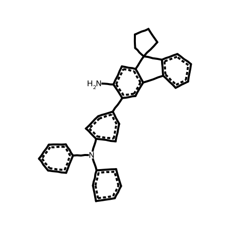 Nc1cc2c(cc1-c1ccc(N(c3ccccc3)c3ccccc3)cc1)-c1ccccc1C21CCCC1